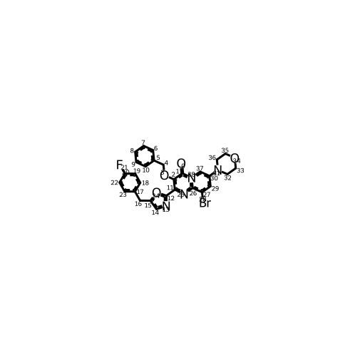 O=c1c(OCc2ccccc2)c(-c2ncc(Cc3ccc(F)cc3)o2)nc2c(Br)cc(N3CCOCC3)cn12